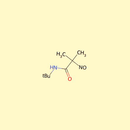 CC(C)(C)NC(=O)C(C)(C)N=O